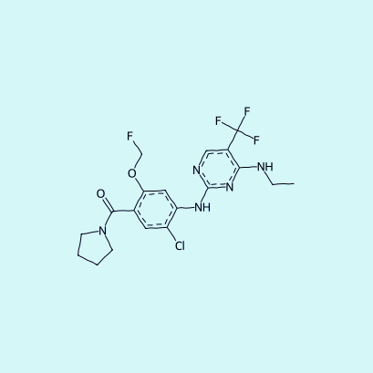 CCNc1nc(Nc2cc(OCF)c(C(=O)N3CCCC3)cc2Cl)ncc1C(F)(F)F